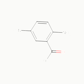 CCC(=O)c1cc([N+](=O)[O-])ccc1[N+](=O)[O-]